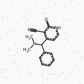 CN(C)C(c1ccccc1)c1cc[nH]c(=O)c1C#N